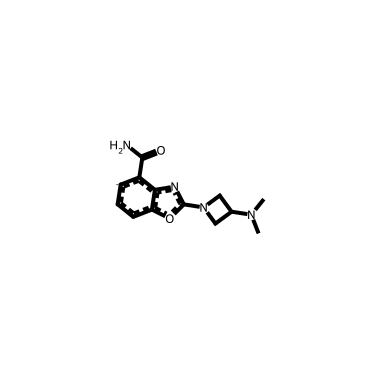 CN(C)C1CN(c2nc3c(C(N)=O)[c]ccc3o2)C1